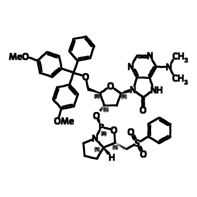 COc1ccc(C(OC[C@H]2O[C@@H](n3c(=O)[nH]c4c(N(C)C)ncnc43)C[C@@H]2O[P@@]2O[C@H](CS(=O)(=O)c3ccccc3)[C@@H]3CCCN32)(c2ccccc2)c2ccc(OC)cc2)cc1